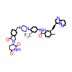 Cc1ccc(C(=O)Nc2ccc(N3CCN(Cc4ccc5c(c4)CN(C4CCC(=O)NC4=O)C5=O)CC3)c(C(F)(F)F)c2)cc1C#Cc1cnc2cccnn12